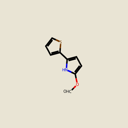 O=COc1ccc(-c2cccs2)[nH]1